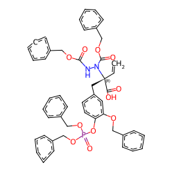 C=C[C@](Cc1ccc(OP(=O)(OCc2ccccc2)OCc2ccccc2)c(OCc2ccccc2)c1)(C(=O)O)N(NC(=O)OCc1ccccc1)C(=O)OCc1ccccc1